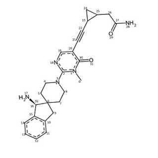 Cn1c(N2CCC3(CC2)Cc2ccccc2[C@H]3N)ncc(C#CC2CC2CC(N)=O)c1=O